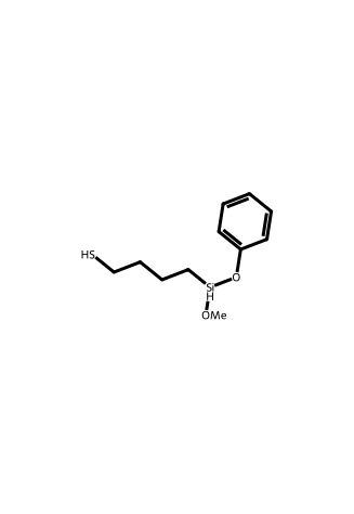 CO[SiH](CCCCS)Oc1ccccc1